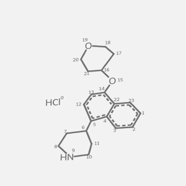 Cl.c1ccc2c(C3CCNCC3)ccc(OC3CCOCC3)c2c1